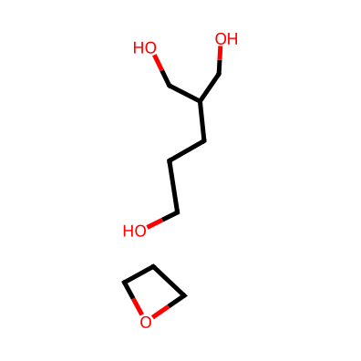 C1COC1.OCCCC(CO)CO